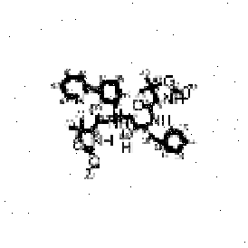 COC(=O)N[C@H](C(=O)N[C@@H](Cc1ccccc1)[C@@H](O)CN(NC(=O)[C@@H](NC(=O)OC)C(C)(C)C)c1cccc(-c2ccccn2)c1)C(C)(C)C